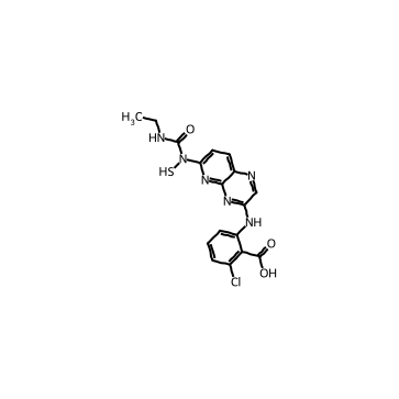 CCNC(=O)N(S)c1ccc2ncc(Nc3cccc(Cl)c3C(=O)O)nc2n1